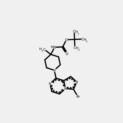 CC1(NC(=O)OC(C)(C)C)CCN(c2nccn3c(Br)ncc23)CC1